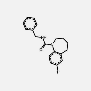 O=C(NCc1ccccc1)N1CCCCc2cc(F)ccc21